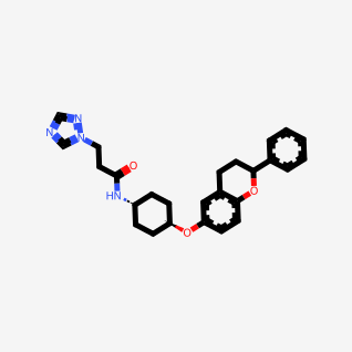 O=C(CCn1cncn1)N[C@H]1CC[C@H](Oc2ccc3c(c2)CCC(c2ccccc2)O3)CC1